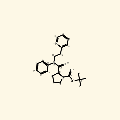 CC(C)(C)OC(=O)N1CCC[C@H]1C(=O)N(CCc1ccccn1)c1ccccc1